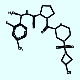 C[C@@H](NC(=O)[C@H]1CCCN1C(=O)[C@@H]1CN(S(=O)(=O)N2CC(C#N)C2)CCO1)c1ccc(C(F)(F)F)cc1F